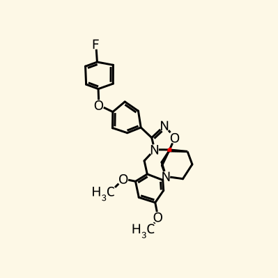 COc1ccc(CN2C(c3ccc(Oc4ccc(F)cc4)cc3)=NOC23CN2CCC3CC2)c(OC)c1